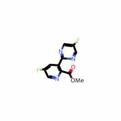 COC(=O)c1ncc(F)cc1-c1ncc(F)cn1